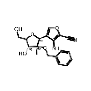 C[C@@]1(OCc2ccccc2)[C@H](O)C(CO)O[C@H]1c1coc(C#N)c1N